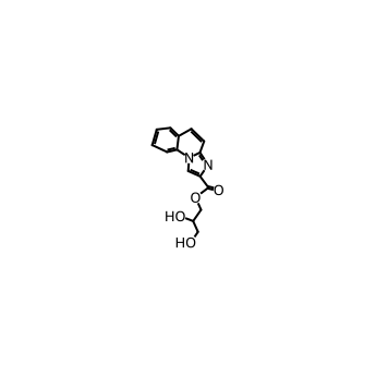 O=C(OCC(O)CO)c1cn2c(ccc3ccccc32)n1